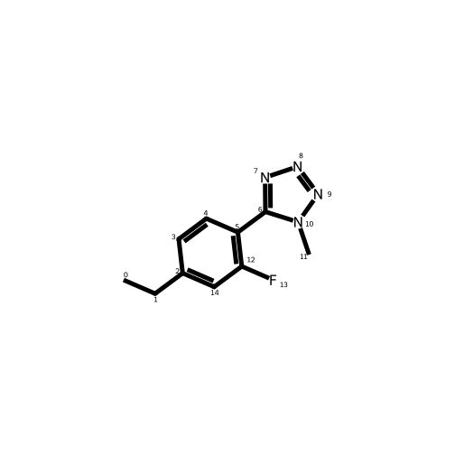 CCc1ccc(-c2nnnn2C)c(F)c1